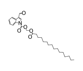 CCCCCCCCCCCCCCCC(=O)OCOC(=O)n1cc(C=O)c2ccccc21